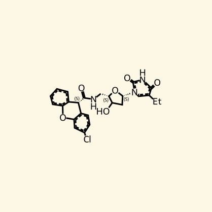 CCc1cn([C@@H]2CC(O)[C@H](CNC(=O)[C@H]3c4ccccc4Oc4cc(Cl)ccc43)O2)c(=O)[nH]c1=O